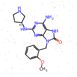 COc1ccccc1Cn1c(=O)[nH]c2c(N)nc(N[C@H]3CCNC3)nc21